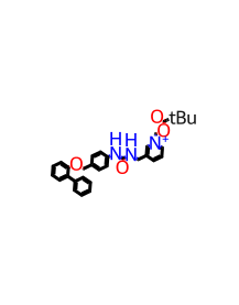 CC(C)(C)C(=O)OC[n+]1cccc(CNC(=O)Nc2ccc(COc3ccccc3-c3ccccc3)cc2)c1